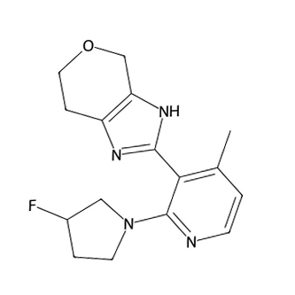 Cc1ccnc(N2CCC(F)C2)c1-c1nc2c([nH]1)COCC2